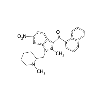 Cc1c(C(=O)c2cccc3ccccc23)c2ccc([N+](=O)[O-])cc2n1CC1CCCCN1C